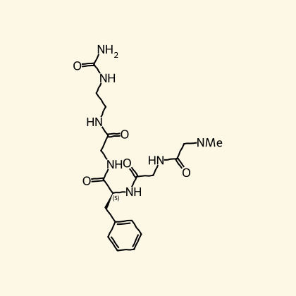 CNCC(=O)NCC(=O)N[C@@H](Cc1ccccc1)C(=O)NCC(=O)NCCNC(N)=O